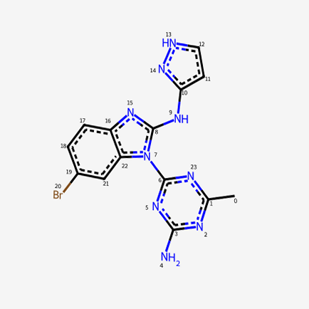 Cc1nc(N)nc(-n2c(Nc3cc[nH]n3)nc3ccc(Br)cc32)n1